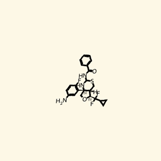 Nc1ccc(F)c([C@]23CO[C@H](C(F)(F)C4CC4)[C@H]2CSC(NC(=O)c2ccccc2)N3)c1